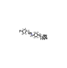 C/C(=N\OCc1ccc(F)cc1)c1ccc(OCc2nnn[nH]2)cc1